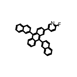 Fc1ccc(-c2ccc3c(-c4ccc5ccccc5c4)c4ccccc4c(-c4ccc5ccccc5c4)c3c2)cn1